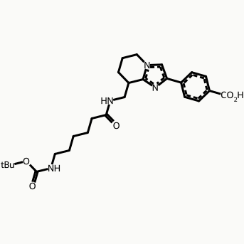 CC(C)(C)OC(=O)NCCCCCC(=O)NCC1CCCn2cc(-c3ccc(C(=O)O)cc3)nc21